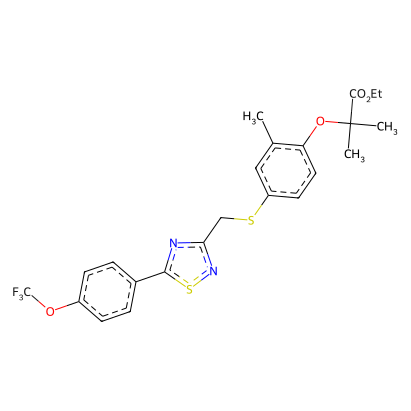 CCOC(=O)C(C)(C)Oc1ccc(SCc2nsc(-c3ccc(OC(F)(F)F)cc3)n2)cc1C